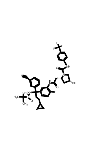 CC(C)(C)[S+]([O-])NC(CCC1CC1)(c1cccc(C#N)c1)c1ccc(F)c(NC(=O)C[C@H]2C[C@@H](O)CN2C(=O)Nc2ccc(C(F)(F)F)cc2)c1